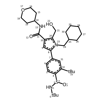 CC(C)(C)N[S+]([O-])c1ccc(-c2cc(C(=O)NC3CCOCC3)c(CO)n2CC2CCCCC2)cc1C(C)(C)C